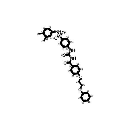 Cc1ccc(NS(=O)(=O)c2ccc(NC(=S)NC(=O)c3ccc(OCCOc4ccccc4)cc3)cc2)cc1C